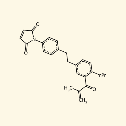 C=C(C)C(=O)c1cc(CCc2ccc(N3C(=O)C=CC3=O)cc2)ccc1CCC